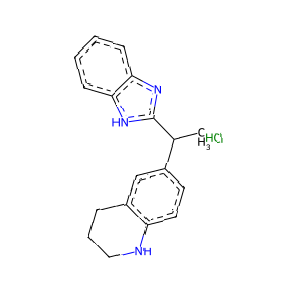 CC(c1ccc2c(c1)CCCN2)c1nc2ccccc2[nH]1.Cl